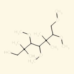 COCC(OC)C(C)(C)C(OC)C(OC)C(C)(C)CO